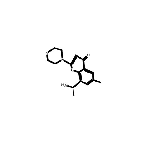 Cc1cc([C@@H](C)N)c2oc(N3CCSCC3)cc(=O)c2c1